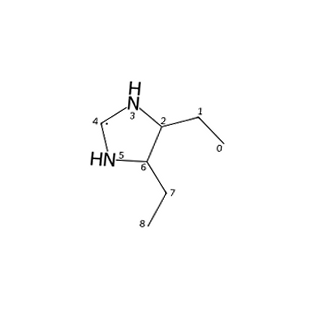 CCC1N[CH]NC1CC